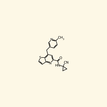 Cc1ccc(Cc2cc(C(=O)NC3(C#N)CC3)nc3ccsc23)cn1